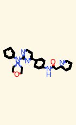 O=C(Cc1ccccn1)Nc1ccc(-c2ccnc(N(c3ccccc3)N3CCOCC3)n2)cc1